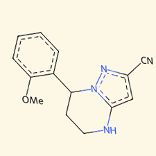 COc1ccccc1C1CCNc2cc(C#N)nn21